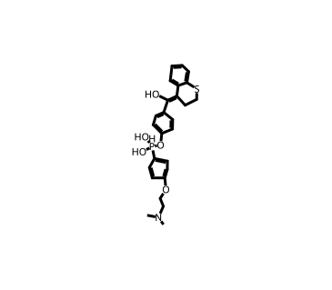 CN(C)CCOc1ccc([PH](O)(O)Oc2ccc(C(O)=C3CCSc4ccccc43)cc2)cc1